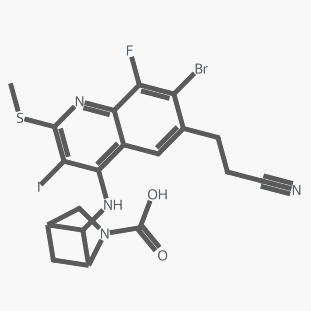 CSc1nc2c(F)c(Br)c(CCC#N)cc2c(NC2C3CC2N(C(=O)O)C3)c1I